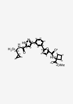 COC(=O)C1(NC(=O)c2cnc(-c3cccc(-c4cc(C(=O)N[C@@H](C)C5CC5)[nH]n4)c3)o2)CCC1